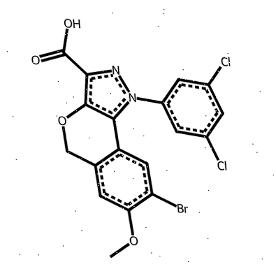 COc1cc2c(cc1Br)-c1c(c(C(=O)O)nn1-c1cc(Cl)cc(Cl)c1)OC2